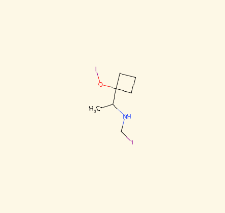 CC(NCI)C1(OI)CCC1